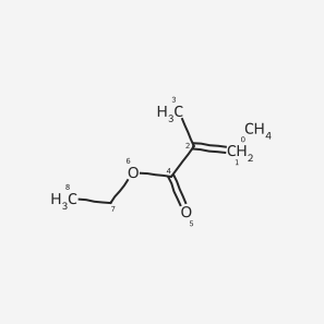 C.C=C(C)C(=O)OCC